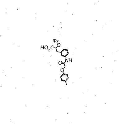 Cc1ccc(OCC(=O)Nc2cccc(CC(OC(C)C)C(=O)O)c2)cc1